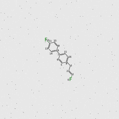 FC=CCc1ccc(-c2ccc(F)cc2)cc1